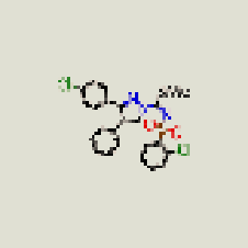 CSC(=NS(=O)(=O)c1ccccc1Cl)N1CC(c2ccccc2)C(c2ccc(Cl)cc2)=N1